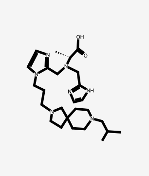 CC(C)CN1CCC2(CC1)CCN(CCCn1ccnc1CN(Cc1ncc[nH]1)[C@H](C)C(=O)O)C2